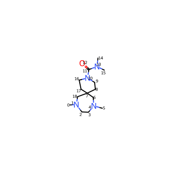 CN1CCN(C)CC2(CCN(C(=O)N(C)C)CC2)C1